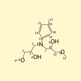 COCC(O)CN(CC(O)COC)c1ccc(C)cc1